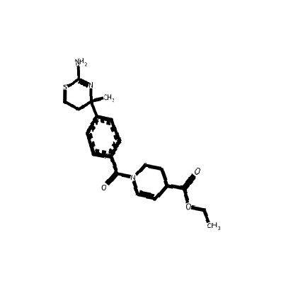 CCOC(=O)C1C=CN(C(=O)c2ccc(C3(C)CCSC(N)=N3)cc2)CC1